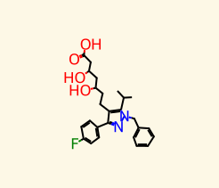 CC(C)c1c(CCC(O)CC(O)CC(=O)O)c(-c2ccc(F)cc2)nn1Cc1ccccc1